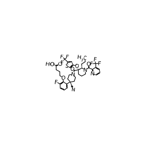 CCC[C@H]1N(C(=O)c2ncccc2C(F)(F)F)CCC[C@@]1(Oc1csc(C(F)(F)F)c1)C(=O)N1CCC(C#N)(c2cccc(F)c2OCCCC(=O)O)CC1